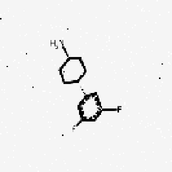 N[C@H]1CC[C@H](c2cc(F)cc(F)c2)CC1